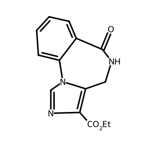 CCOC(=O)c1ncn2c1CNC(=O)c1ccccc1-2